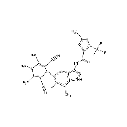 CC1=C(C#N)C(c2cc3c(NC(=O)c4cn(C)nc4C(F)(F)F)n[nH]c3c(C)c2F)C(C#N)=C(C)N1C